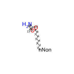 CCCCCCCCCCCCCCCCCC(=O)OC(C)(C)CN